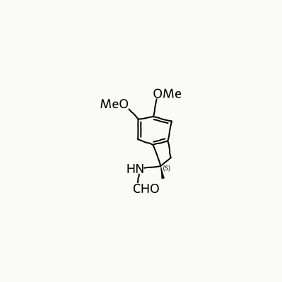 COc1cc2c(cc1OC)[C@@](C)(NC=O)C2